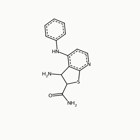 NC(=O)C1Sc2nccc(Nc3ccccc3)c2C1N